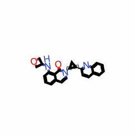 O=c1c2c(NC3COC3)cccc2ccn1[C@@H]1C[C@H]1c1ccc2ccccc2n1